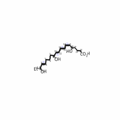 CC[C@@H](O)/C=C/CCC[C@@H](O)/C=C/C=C/C=C\[C@@H](O)CCCC(=O)O